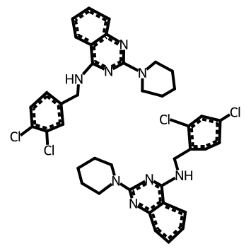 Clc1ccc(CNc2nc(N3CCCCC3)nc3ccccc23)c(Cl)c1.Clc1ccc(CNc2nc(N3CCCCC3)nc3ccccc23)cc1Cl